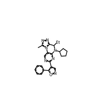 CCC1c2nnc(C)n2-c2cnc(-c3cnoc3-c3ccccc3)nc2N1C1CCCC1